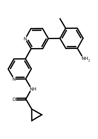 Cc1ccc(N)cc1-c1ccnc(-c2ccnc(NC(=O)C3CC3)c2)c1